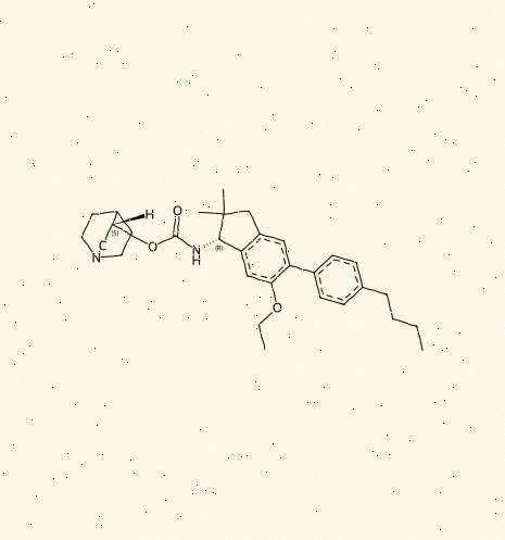 CCCCc1ccc(-c2cc3c(cc2OCC)[C@H](NC(=O)O[C@@H]2CN4CCC2CC4)C(C)(C)C3)cc1